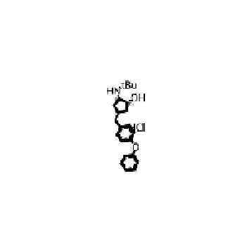 CC(C)(C)N[C@@H]1C[C@H](Cc2ccc(Oc3ccccc3)cc2)C[C@H]1O.Cl